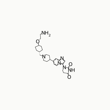 NCCO[C@H]1CC[C@H](CN2CCC(c3ccn4c(N5CCC(=O)NC5=O)cnc4c3)CC2)CC1